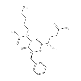 NCCCC[C@H](NC(=O)[C@H](Cc1ccccc1)NC(=O)[C@@H](N)CCC(N)=O)C(N)=O